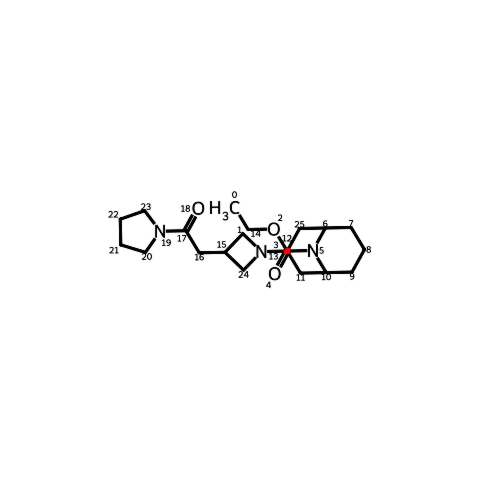 CCOC(=O)N1C2CCCC1CC(N1CC(CC(=O)N3CCCC3)C1)C2